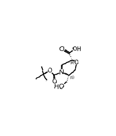 CC(C)(C)OC(=O)N1C[C@H](C(=O)O)OC[C@@H]1CO